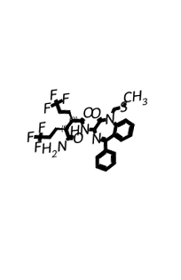 CSCN1C(=O)C(NC(=O)[C@H](CCC(F)(F)F)[C@H](CCC(F)(F)F)C(N)=O)N=C(c2ccccc2)c2ccccc21